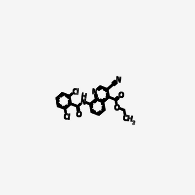 CCOC(=O)c1c(C#N)cnc2c(NC(=O)c3c(Cl)cccc3Cl)cccc12